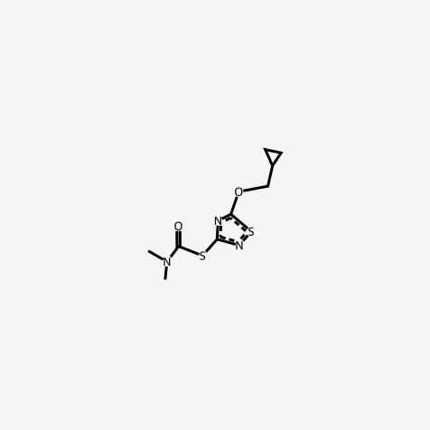 CN(C)C(=O)Sc1nsc(OCC2CC2)n1